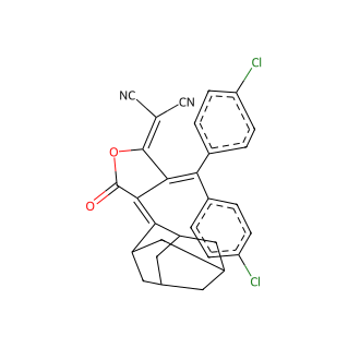 N#CC(C#N)=C1OC(=O)C(=C2C3CC4CC(C3)CC2C4)C1=C(c1ccc(Cl)cc1)c1ccc(Cl)cc1